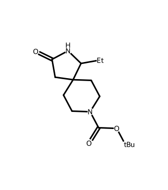 CCC1NC(=O)CC12CCN(C(=O)OC(C)(C)C)CC2